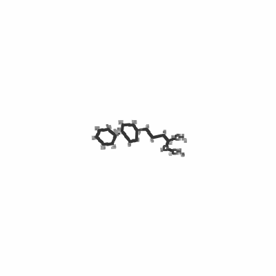 COC(C)CCC[C@H]1CC[C@H](C2CCCCC2)CC1